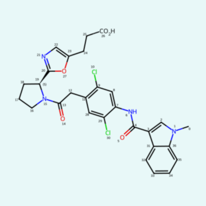 Cn1cc(C(=O)Nc2cc(Cl)c(CC(=O)N3CCC[C@H]3c3ncc(CCC(=O)O)o3)cc2Cl)c2ccccc21